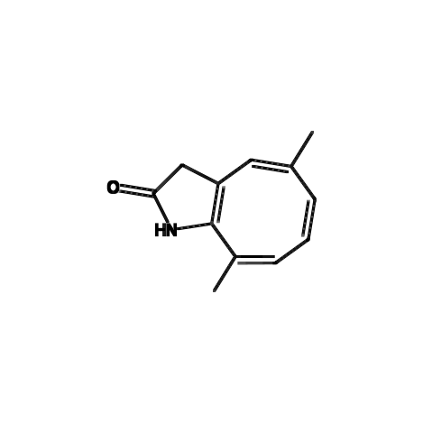 CC1=CC2=C(NC(=O)C2)C(C)=CC=C1